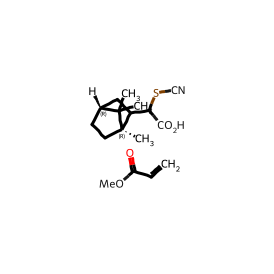 C=CC(=O)OC.CC1(C)[C@@H]2CC[C@]1(C)C(C(SC#N)C(=O)O)C2